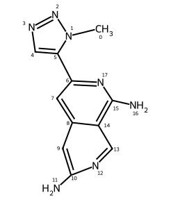 Cn1nncc1-c1cc2cc(N)ncc2c(N)n1